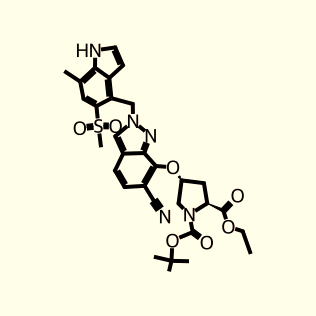 CCOC(=O)[C@@H]1C[C@@H](Oc2c(C#N)ccc3cn(Cc4c(S(C)(=O)=O)cc(C)c5[nH]ccc45)nc23)CN1C(=O)OC(C)(C)C